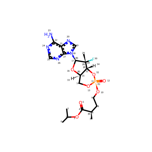 CC(C)OC(=O)[C@H](C)CCO[P@@]1(=O)OC[C@H]2O[C@@H](n3cnc4c(N)ncnc43)[C@](C)(F)[C@@H]2O1